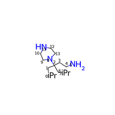 CC(C)CC(CCN)(CC(C)C)N1CCNCC1